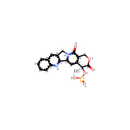 CC[C@@]1(O[PH](=O)O)C(=O)OCc2c1cc1n(c2=O)Cc2cc3ccccc3nc2-1